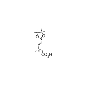 C[C@H](C=CB1OC(C)(C)C(C)(C)O1)CC(=O)O